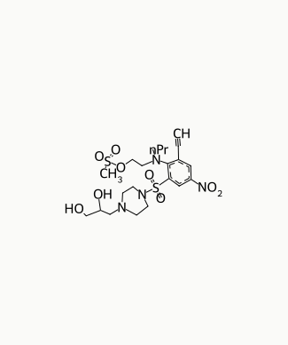 C#Cc1cc([N+](=O)[O-])cc(S(=O)(=O)N2CCN(CC(O)CO)CC2)c1N(CCC)CCOS(C)(=O)=O